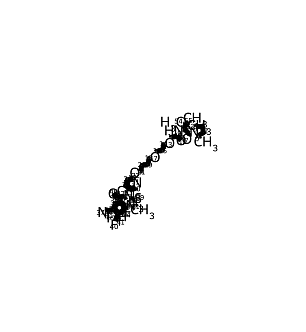 CC1CCCN1C(=O)C(NC(=O)COCCCOCCCCOc1ccc(N(C(=S)N(C)c2ccc(C#N)c(C(F)(F)F)c2F)C(C)(C)C=O)cn1)C(C)(C)C